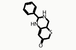 O=C1C=C2NC(c3ccccc3)NCC2SC1